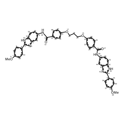 COc1ccc(-c2nc3cc(NC(=O)c4ccc(OCCCOc5ccc(C(=O)Nc6ccc7[nH]c(-c8ccc(OC)cc8)nc7c6)cc5)cc4)ccc3[nH]2)cc1